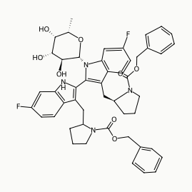 C[C@@H]1O[C@H](n2c(-c3[nH]c4cc(F)ccc4c3CC3CCCN3C(=O)OCc3ccccc3)c(C[C@@H]3CCCN3C(=O)OCc3ccccc3)c3ccc(F)cc32)[C@@H](O)[C@H](O)[C@@H]1O